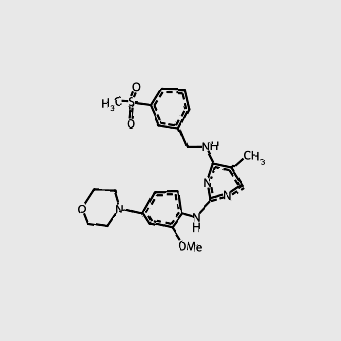 COc1cc(N2CCOCC2)ccc1Nc1ncc(C)c(NCc2cccc(S(C)(=O)=O)c2)n1